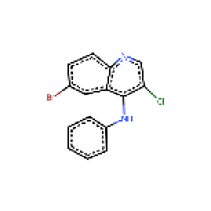 Clc1cnc2ccc(Br)cc2c1Nc1ccccc1